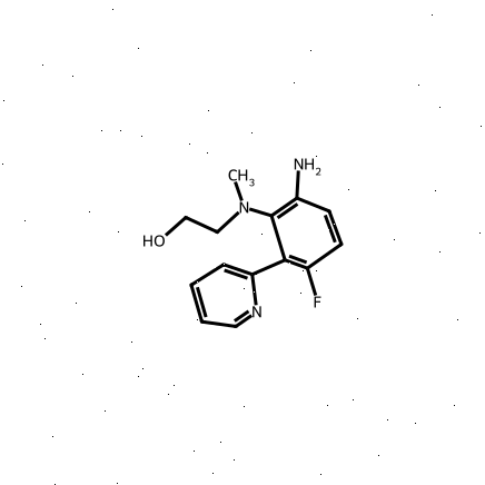 CN(CCO)c1c(N)ccc(F)c1-c1ccccn1